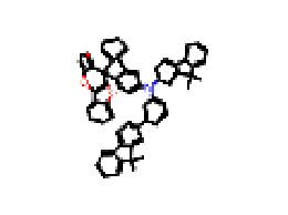 CC1(C)c2ccccc2-c2ccc(-c3cccc(N(c4ccc5c(c4)-c4ccccc4C54c5ccccc5Oc5c4oc4ccccc54)c4ccc5c(c4)C(C)(C)c4ccccc4-5)c3)cc21